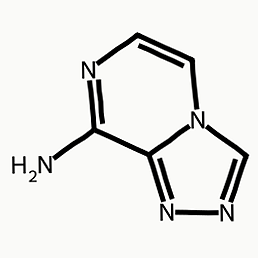 Nc1nccn2cnnc12